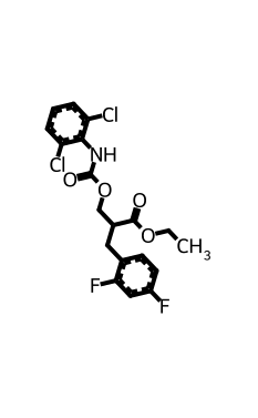 CCOC(=O)C(COC(=O)Nc1c(Cl)cccc1Cl)Cc1ccc(F)cc1F